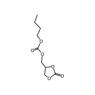 CCCCOC(=O)OCC1COC(=O)O1